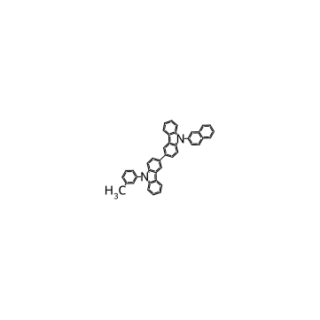 Cc1cccc(-n2c3ccccc3c3cc(-c4ccc5c(c4)c4ccccc4n5-c4ccc5ccccc5c4)ccc32)c1